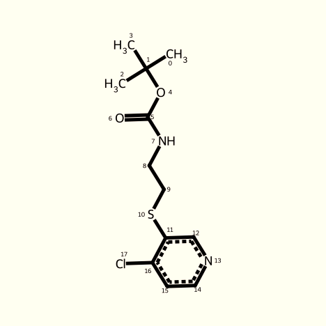 CC(C)(C)OC(=O)NCCSc1cnccc1Cl